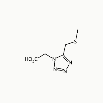 O=C(O)Cn1nnnc1CSI